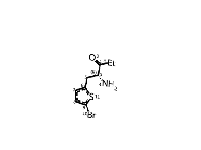 CCC(=O)[C@H](N)Cc1ccc(Br)s1